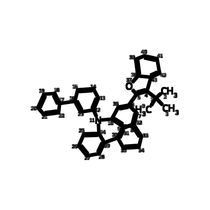 CC(C)(C)c1c(-c2cccc(N(c3cccc(-c4ccccc4)c3)c3ccccc3-c3ccccc3)c2)oc2ccccc12